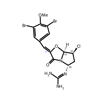 COc1c(Br)cc(/C=C2\O[C@H]3[C@@H](Cl)C[C@H](N=C(N)N)N3C2=O)cc1Br